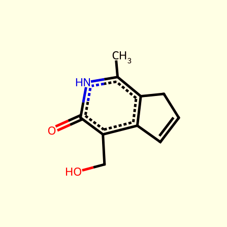 Cc1[nH]c(=O)c(CO)c2c1CC=C2